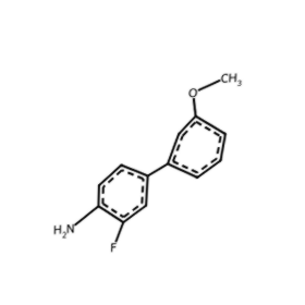 COc1cccc(-c2ccc(N)c(F)c2)c1